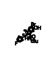 Cn1c(CSc2ccc(F)cc2)c(C(=O)NC(C)(C)C)c2cc(O)c(Br)cc21